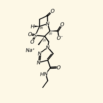 CCNC(=O)c1cn(C[C@@]2(C)[C@H](C(=O)[O-])N3C(=O)C[C@H]3S2(=O)=O)nn1.[Na+]